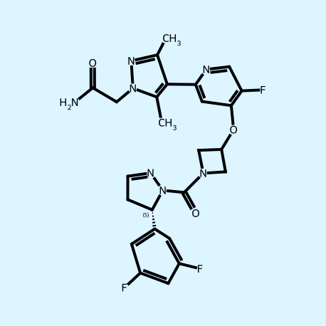 Cc1nn(CC(N)=O)c(C)c1-c1cc(OC2CN(C(=O)N3N=CC[C@H]3c3cc(F)cc(F)c3)C2)c(F)cn1